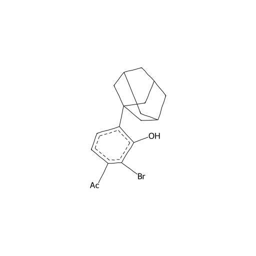 CC(=O)c1ccc(C23CC4CC(CC(C4)C2)C3)c(O)c1Br